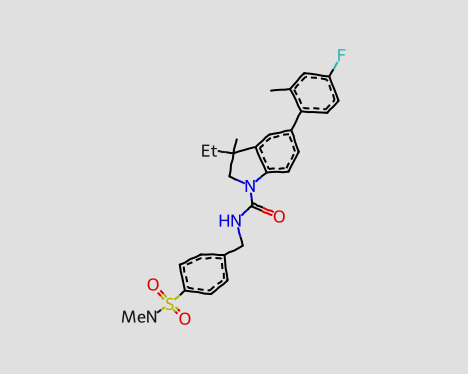 CCC1(C)CN(C(=O)NCc2ccc(S(=O)(=O)NC)cc2)c2ccc(-c3ccc(F)cc3C)cc21